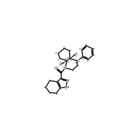 O=C(c1n[nH]c2c1CCCC2)N1CC[C@H](c2ccccc2)[C@H]2CCCC[C@H]21